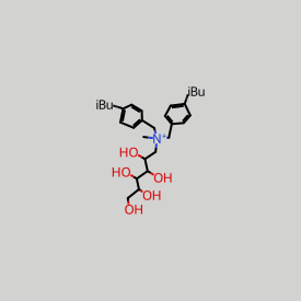 CCC(C)c1ccc(C[N+](C)(Cc2ccc(C(C)CC)cc2)CC(O)C(O)C(O)C(O)CO)cc1